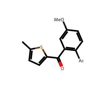 COc1ccc(C(C)=O)c(C(=O)c2ccc(C)s2)c1